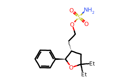 CCC1(CC)C[C@@H](CCOS(N)(=O)=O)[C@H](c2ccccc2)O1